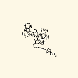 [2H]c1c([2H])c([2H])c(-n2c([C@@H](C)NC(=O)c3c(C)nn4cccnc34)nc3cccc(C#Cc4ccn(C)n4)c3c2=O)c([2H])c1[2H]